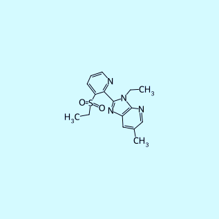 CCn1c(-c2ncccc2S(=O)(=O)CC)nc2cc(C)cnc21